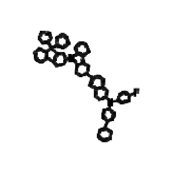 Fc1ccc(N(c2ccc(-c3ccccc3)cc2)c2ccc3cc(-c4ccc5c(c4)c4ccccc4n5-c4ccc5c(c4)C(c4ccccc4)(c4ccccc4)c4ccccc4-5)ccc3c2)cc1